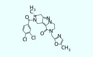 Cc1cnc(CN2CCn3nc4c(c3C2=O)CN(C(=O)c2ccc(Cl)c(Cl)c2)[C@H](C)C4)o1